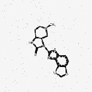 CN1CCC2NC(=O)N(c3nc4c5c(ccc4s3)OCO5)C2C1